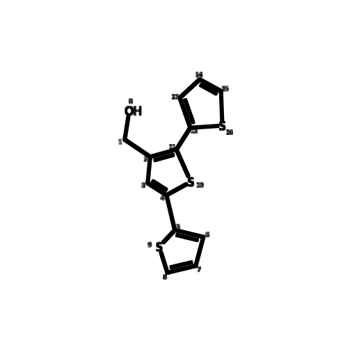 OCc1cc(-c2cccs2)sc1-c1cccs1